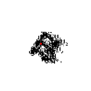 Nc1nc2c(ncn2[C@@H]2O[C@H](COP(=O)([O-])OP(=O)([O-])OP(=O)([O-])[O-])[C@@H](O)[C@H]2O)c(=O)[nH]1.Nc1nc2c(ncn2[C@@H]2O[C@H](COP(=O)([O-])OP(=O)([O-])OP(=O)([O-])[O-])[C@@H](O)[C@H]2O)c(=O)[nH]1.Nc1nc2c(ncn2[C@@H]2O[C@H](COP(=O)([O-])OP(=O)([O-])OP(=O)([O-])[O-])[C@@H](O)[C@H]2O)c(=O)[nH]1.[N+3].[N+3].[N+3].[N+3]